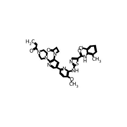 C=CC(=O)N1CCN(c2ncc(-c3ccc(OC)c(Nc4ncc(C(=O)Nc5c(C)cccc5Cl)s4)n3)cc2N2CCC2=O)CC1